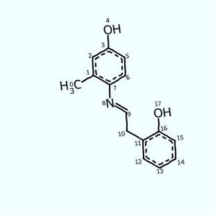 Cc1cc(O)ccc1N=CCc1ccccc1O